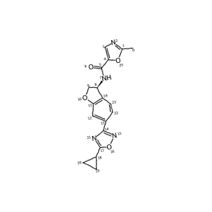 Cc1ncc(C(=O)N[C@@H]2COc3cc(-c4noc(C5CC5)n4)ccc32)o1